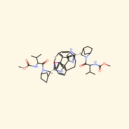 COC(=O)NC(C(=O)N1C2CCC(C2)[C@H]1c1nc(-c2cc3ccc2CCc2ccc(c(-c4c[nH]c([C@@H]5C6CCC(C6)N5C(=O)C(NC(=O)OC)C(C)C)n4)c2)CC3)c[nH]1)C(C)C